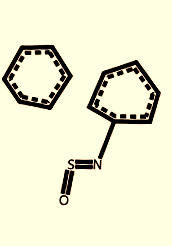 O=S=Nc1ccccc1.c1ccccc1